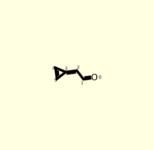 O=CC=C1C=C1